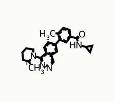 Cc1ccc(C(=O)NC2CC2)cc1-c1ccc2c(N3CCCC[C@@H]3C)nncc2c1